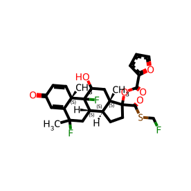 CC1(F)C[C@H]2[C@@H]3CCC(OC(=O)c4ccco4)(C(=O)SCF)[C@@]3(C)CC(O)C2(F)[C@@]2(C)C=CC(=O)C=C12